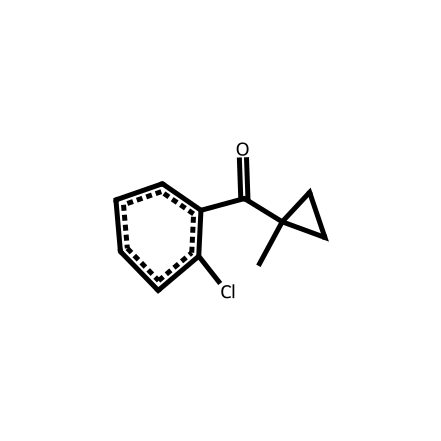 CC1(C(=O)c2ccccc2Cl)CC1